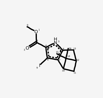 COC(=O)c1[nH]c2c(c1I)C1CC(C2)C1(C)C